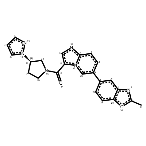 Cc1nc2cc(-c3ccc4ncc(C(=O)N5CC[C@@H](n6cccn6)C5)n4c3)ccc2o1